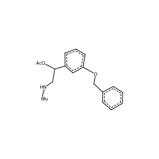 CC(=O)OC(CNC(C)(C)C)c1cccc(OCc2ccccc2)c1